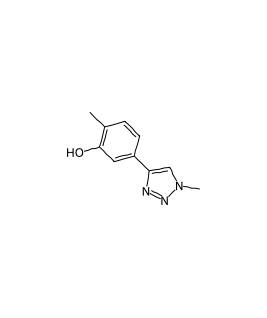 Cc1ccc(-c2cn(C)nn2)cc1O